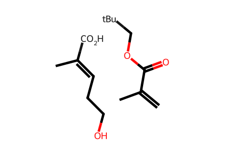 C=C(C)C(=O)OCC(C)(C)C.CC(=CCCO)C(=O)O